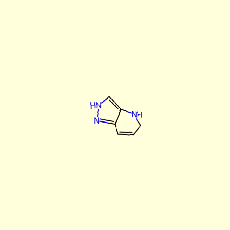 C1=Cc2n[nH]cc2NC1